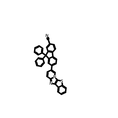 N#Cc1ccc2c(c1)C(c1ccccc1)(c1ccccc1)c1cc(-c3ccc4nc5c6ccccc6sc5n4c3)ccc1-2